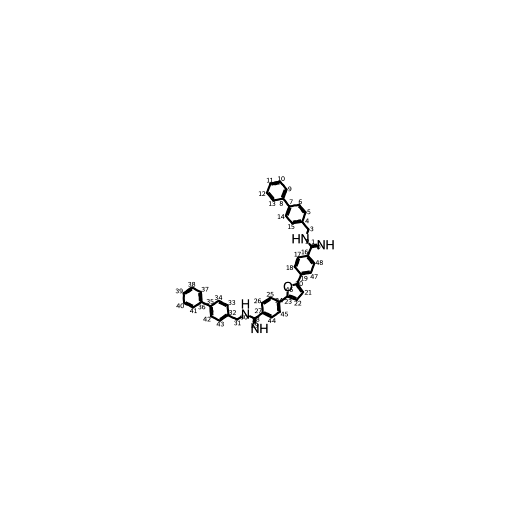 N=C(NCc1ccc(-c2ccccc2)cc1)c1ccc(-c2ccc(-c3ccc(C(=N)NCc4ccc(-c5ccccc5)cc4)cc3)o2)cc1